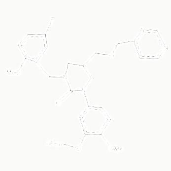 CCCCCOc1cc(N2CC(COCc3ccncn3)CN(Cc3cc(F)ccc3OC)C2=O)ccc1OC